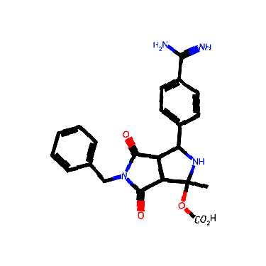 CC1(OC(=O)O)NC(c2ccc(C(=N)N)cc2)C2C(=O)N(Cc3ccccc3)C(=O)C21